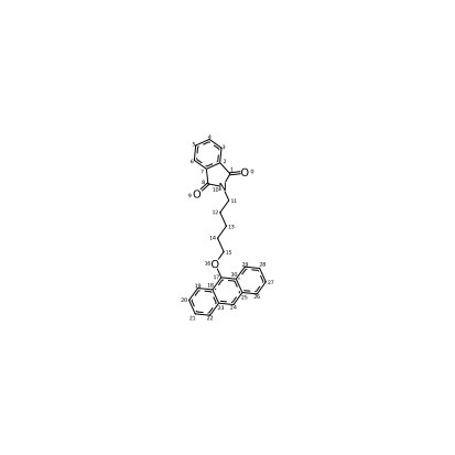 O=C1c2ccccc2C(=O)N1CCCCCOc1c2ccccc2cc2ccccc12